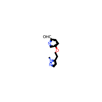 Cn1nccc1CCOc1ccc(C=O)nc1